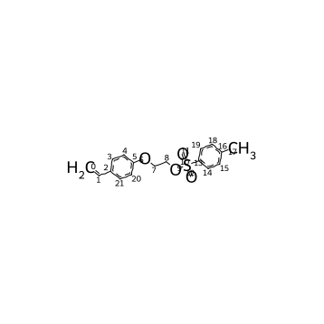 C=Cc1ccc(OCCOS(=O)(=O)c2ccc(C)cc2)cc1